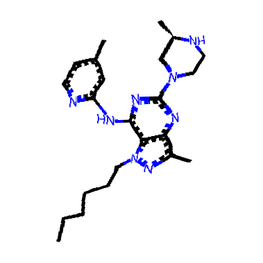 CCCCCCn1nc(C)c2nc(N3CCN[C@H](C)C3)nc(Nc3cc(C)ccn3)c21